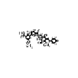 CCOc1cc(C(=O)O)c(O)c(-c2ccc(C(=O)NCNC(=O)C(CCc3ccccc3)C(CC)N(O)C=O)o2)c1